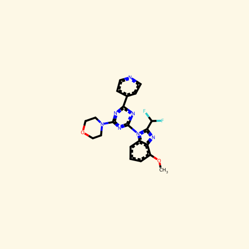 COc1cccc2c1nc(C(F)F)n2-c1nc(-c2ccncc2)nc(N2CCOCC2)n1